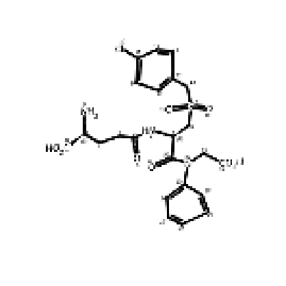 N[C@@H](CCC(=O)N[C@@H](CS(=O)(=O)Cc1ccc(Cl)cc1)C(=O)N(CC(=O)O)c1ccccc1)C(=O)O